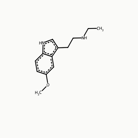 CCNCCc1c[nH]c2ccc(OC)cc12